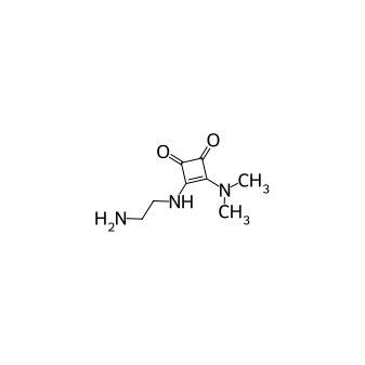 CN(C)c1c(NCCN)c(=O)c1=O